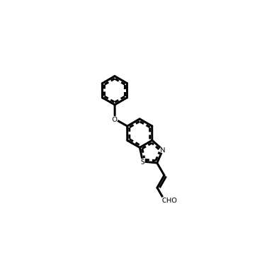 O=C/C=C/c1nc2ccc(Oc3ccccc3)cc2s1